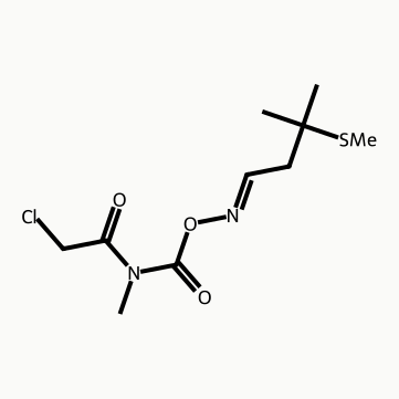 CSC(C)(C)CC=NOC(=O)N(C)C(=O)CCl